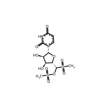 CS(=O)(=O)OC([C@H]1O[C@@H](n2ccc(=O)[nH]c2=O)[C@H](O)[C@@H]1O)S(C)(=O)=O